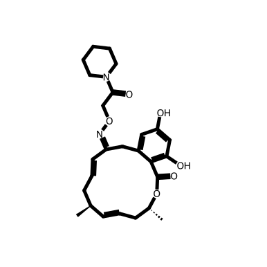 C[C@@H]1/C=C/C[C@@H](C)OC(=O)c2c(O)cc(O)cc2CC(=NOCC(=O)N2CCCCC2)/C=C/C1